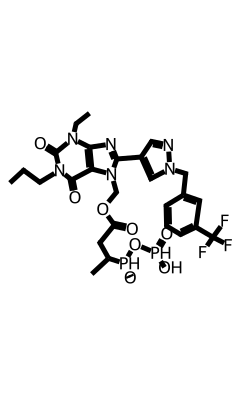 CCCn1c(=O)c2c(nc(-c3cnn(Cc4cccc(C(F)(F)F)c4)c3)n2COC(=O)CC(C)[PH](=O)O[PH](=O)O)n(CC)c1=O